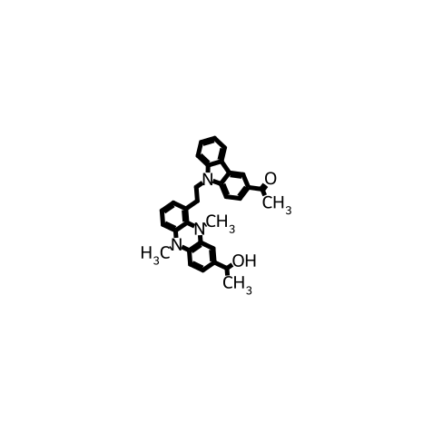 CC(=O)c1ccc2c(c1)c1ccccc1n2CCc1cccc2c1N(C)c1cc(C(C)O)ccc1N2C